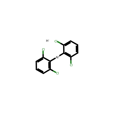 Clc1cccc(Cl)[c]1[Al+][c]1c(Cl)cccc1Cl.[H-]